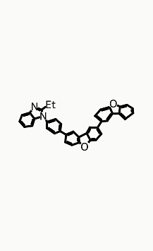 CCc1nc2ccccc2n1-c1ccc(-c2ccc3oc4ccc(-c5ccc6oc7ccccc7c6c5)cc4c3c2)cc1